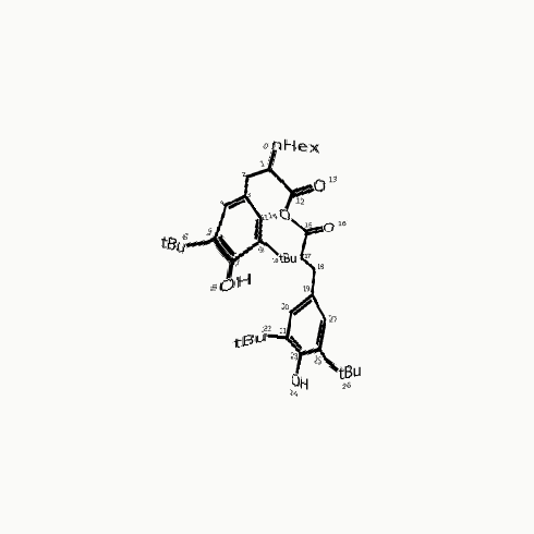 CCCCCCC(Cc1cc(C(C)(C)C)c(O)c(C(C)(C)C)c1)C(=O)OC(=O)CCc1cc(C(C)(C)C)c(O)c(C(C)(C)C)c1